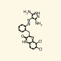 Nc1n[nH]c(N)c1/N=N/c1ccccc1Cc1nc2c(Cl)c(Cl)ccc2[nH]c1=O